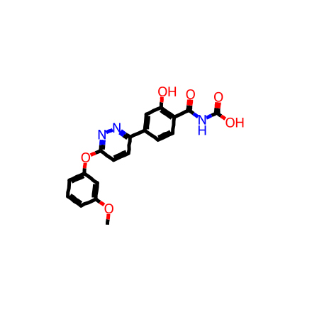 COc1cccc(Oc2ccc(-c3ccc(C(=O)NC(=O)O)c(O)c3)nn2)c1